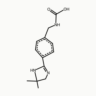 CC1(C)CN=C(c2ccc(CNC(=O)O)cc2)N1